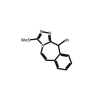 CSc1nnc2n1C=Cc1ccccc1C2C(C)C